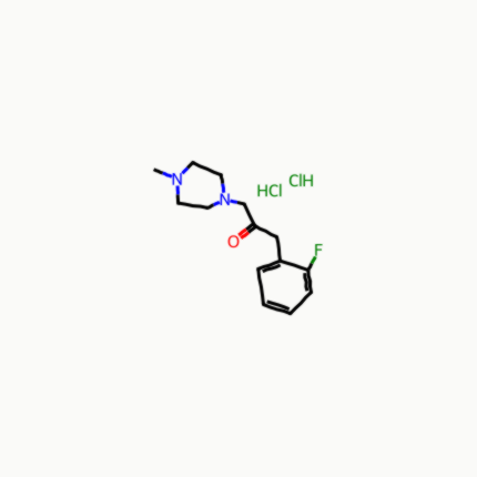 CN1CCN(CC(=O)Cc2ccccc2F)CC1.Cl.Cl